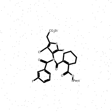 CCCCCOC(=O)C1=C(C(=O)N(C(=O)c2cccc(F)c2)c2c(F)sc(CC(=O)OCC)c2Cl)CCCC1